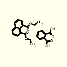 CCOC(=O)c1cccc2cccc(C(=O)OCC)c12.O=C(O)c1ccccc1C(=O)O